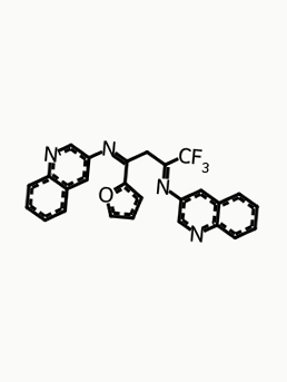 FC(F)(F)C(CC(=Nc1cnc2ccccc2c1)c1ccco1)=Nc1cnc2ccccc2c1